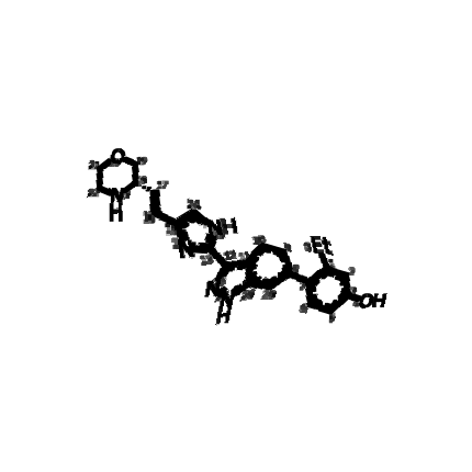 CCc1cc(O)ccc1-c1ccc2c(-c3nc(/C=C/[C@H]4COCCN4)c[nH]3)n[nH]c2c1